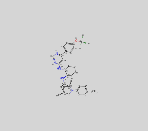 Cc1ccc(N2C[C@@H]3C[C@H](N[C@@H]4CCCC[C@H]4Nc4cc(-c5ccc(OC(F)(F)F)cc5)ncn4)[C@H]2C3)cc1